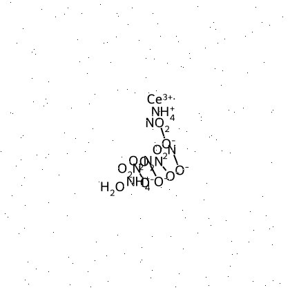 O.O=[N+]([O-])[O-].O=[N+]([O-])[O-].O=[N+]([O-])[O-].O=[N+]([O-])[O-].O=[N+]([O-])[O-].[Ce+3].[NH4+].[NH4+]